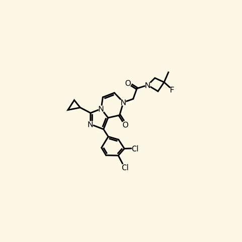 CC1(F)CN(C(=O)Cn2ccn3c(C4CC4)nc(-c4ccc(Cl)c(Cl)c4)c3c2=O)C1